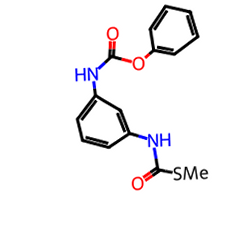 CSC(=O)Nc1cccc(NC(=O)Oc2ccccc2)c1